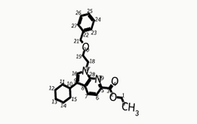 CCOC(=O)c1ccc2c(C3CCCCC3)cn(CCOCc3ccccc3)c2n1